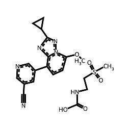 COc1ccc(-c2cncc(C#N)c2)c2nc(C3CC3)nn12.CS(=O)(=O)CCNC(=O)O